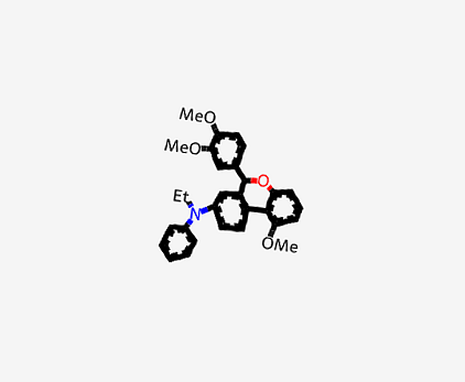 CCN(c1ccccc1)c1ccc2c(c1)C(c1ccc(OC)c(OC)c1)Oc1cccc(OC)c1-2